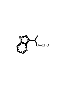 CC(OC=O)c1c[nH]c2cccnc12